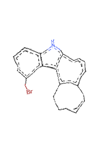 Brc1cccc2[nH]c3ccc4c(c3c12)CCC=C4